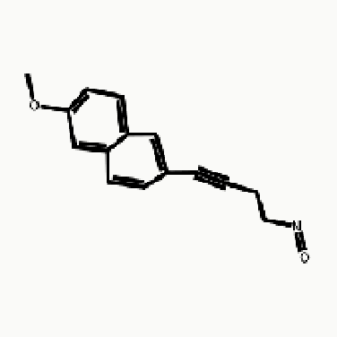 COc1ccc2cc(C#CCCN=O)ccc2c1